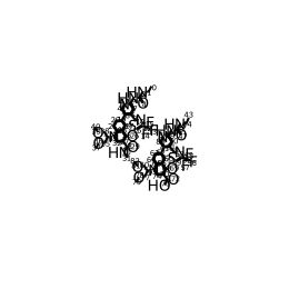 CCNC(=O)Nc1cc(-c2nc(C(F)(F)F)cs2)c(-c2ccc3c(c2)c(=O)c(C(=O)NC)cn3C(COC)COC)cn1.CCNC(=O)Nc1cc(-c2nc(C(F)(F)F)cs2)c(-c2ccc3c(c2)c(=O)c(C(=O)O)cn3C(COC)COC)cn1